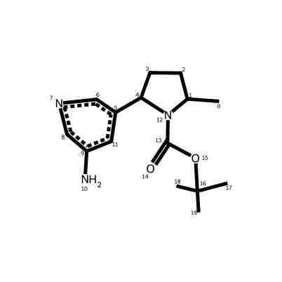 CC1CCC(c2cncc(N)c2)N1C(=O)OC(C)(C)C